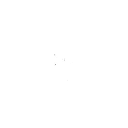 Cc1ccc(C(C)(C)C)cc1N1c2ccccc2N(C)[C@@H]1C